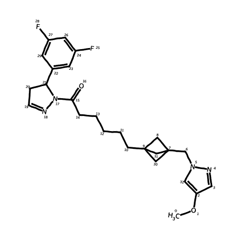 COc1cnn(CC23CC(CCCCCC(=O)N4N=CCC4c4cc(F)cc(F)c4)(C2)C3)c1